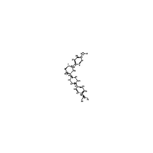 COc1ccc(N2CC[N]C(N3CCN(c4ccc(N(C)C)cc4)CC3)C2)cc1